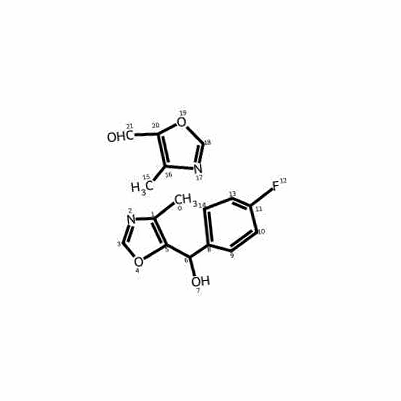 Cc1ncoc1C(O)c1ccc(F)cc1.Cc1ncoc1C=O